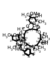 CC[C@H]1OC(=O)[C@H](C)[C@@H](O[C@H]2C[C@@](C)(OC)[C@@H](O)[C@H](C)O2)[C@H](C)[C@@H](O[C@@H]2O[C@H](C)C[C@H](N(C)C(=O)Nc3ccc(F)cc3)[C@H]2O)[C@](C)(O)C[C@@H](C)CN(C)[C@H](C)[C@@H](O)[C@]1(C)O